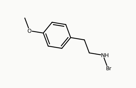 COc1ccc(CCNBr)cc1